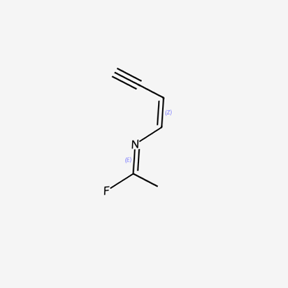 C#C/C=C\N=C(/C)F